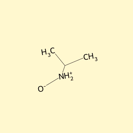 CC(C)[NH2+][O-]